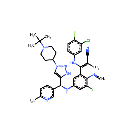 C=Nc1c(Cl)cc(N[C@H](C2=CN(C3CCN(C(C)(C)C)CC3)NN2)c2ccc(C)nc2)cc1/C(Nc1ccc(F)c(Cl)c1)=C(\C)C#N